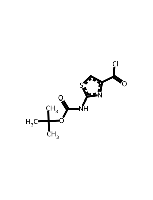 CC(C)(C)OC(=O)Nc1nc(C(=O)Cl)cs1